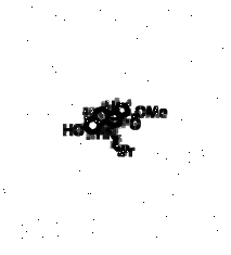 COC(=O)[C@H]1CC[C@H]2[C@@H]3CC[C@@H]4C[C@@H](O)CC[C@]4(C)[C@H]3[C@H](NCCC(C)C)C[C@]12C